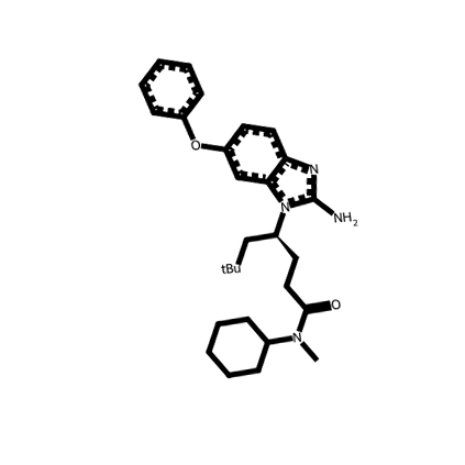 CN(C(=O)CC[C@@H](CC(C)(C)C)n1c(N)nc2ccc(Oc3ccccc3)cc21)C1CCCCC1